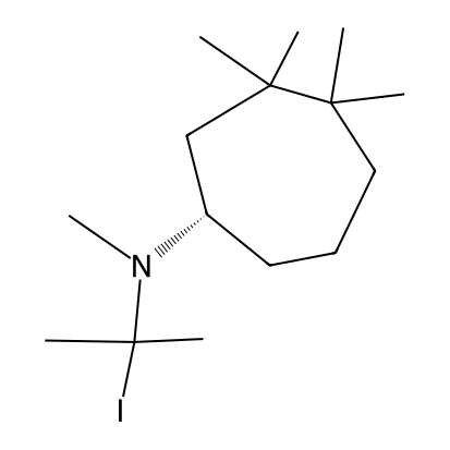 CN([C@H]1CCCC(C)(C)C(C)(C)C1)C(C)(C)I